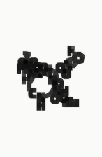 CC(C)(C)OC(=O)N[C@H]1CCNCC/C=C\[C@@H]2C[C@@]2(C(=O)NS(=O)(=O)C2CC2)NC(=O)[C@@H]2C[C@@H](OC(=O)N3Cc4cccc(F)c4C3)CN2C1=O